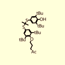 CC(=O)CCCOc1c(C(C)(C)C)cc(SC(C)(C)Sc2cc(C(C)(C)C)c(O)c(C(C)(C)C)c2)cc1C(C)(C)C